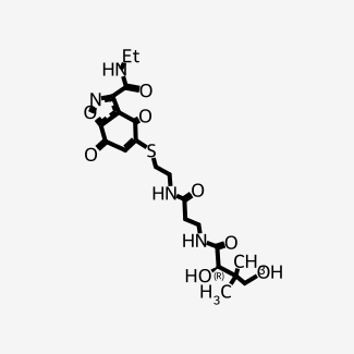 CCNC(=O)c1noc2c1C(=O)C(SCCNC(=O)CCNC(=O)[C@H](O)C(C)(C)CO)=CC2=O